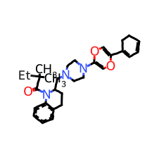 CCC(C)(C)C(=O)N1c2ccccc2CCC1CN1CCN(C2=COC(C3=CC=CCC3)=CO2)CC1